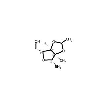 B[C@@H]1O[C@H](CO)[C@H]2OC(C)O[C@@]12C